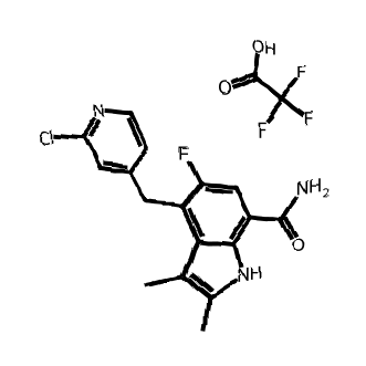 Cc1[nH]c2c(C(N)=O)cc(F)c(Cc3ccnc(Cl)c3)c2c1C.O=C(O)C(F)(F)F